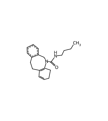 CCCCNC(=O)N1Cc2ccccc2CCC2=C1CCC=C2